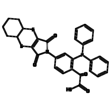 O=C(S)C(=O)c1ccc(N2C(=O)C3=C(SC4CCCCC4S3)C2=O)cc1P(c1ccccc1)c1ccccc1